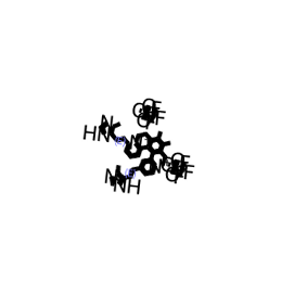 Cc1nc[nH]c1/C=C/c1cc[n+]2c(c1)-c1c(c(C)c(C)c3c1-c1cccc(/C=C/c4[nH]cnc4C)[n+]1CC3)CC2.O=S(=O)([O-])C(F)(F)F.O=S(=O)([O-])C(F)(F)F